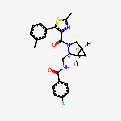 Cc1cccc(-c2sc(C)nc2C(=O)N2C[C@H]3C[C@H]3[C@H]2CNC(=O)c2ccc(F)cc2)c1